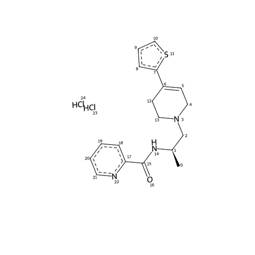 C[C@H](CN1CC=C(c2cccs2)CC1)NC(=O)c1ccccn1.Cl.Cl